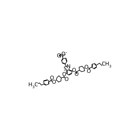 CCCc1ccc(C(=O)OC2CCC(C(=O)Oc3ccc(OC(=O)C4CCC(OC(=O)c5ccc(CCC)cc5)CC4)c4sc(-c5ccc([N+](=O)[O-])cc5)nc34)CC2)cc1